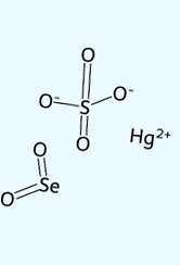 O=S(=O)([O-])[O-].O=[Se]=O.[Hg+2]